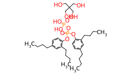 CCCCc1ccc(OP(=O)(Oc2ccc(CCCC)cc2CCCC)OP(=O)(O)O)c(CCCC)c1.OCC(CO)(CO)CO